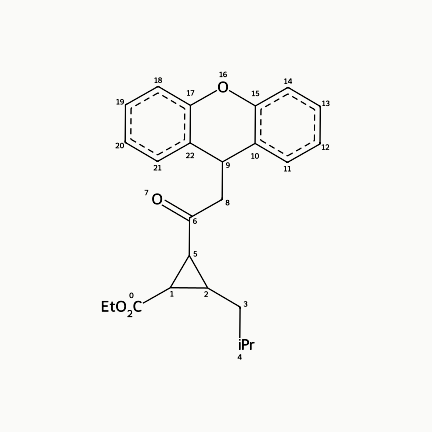 CCOC(=O)C1C(CC(C)C)C1C(=O)CC1c2ccccc2Oc2ccccc21